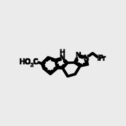 CC(C)Cn1cc2c(n1)-c1[nH]c3cc(C(=O)O)ccc3c1CC2